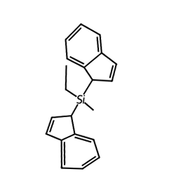 CC[Si](C)(C1C=Cc2ccccc21)C1C=Cc2ccccc21